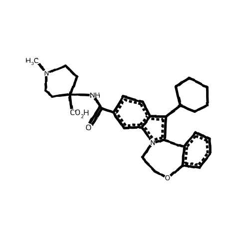 CN1CCC(NC(=O)c2ccc3c(C4CCCCC4)c4n(c3c2)CCOc2ccccc2-4)(C(=O)O)CC1